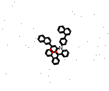 c1cc(-c2ccc3ccccc3c2)cc(N(c2ccc(-c3cccc4ccccc34)cc2)c2ccccc2-c2cc3ccccc3c3ccccc23)c1